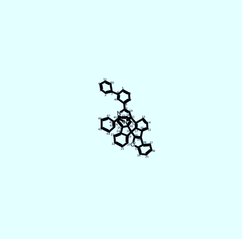 c1ccc(-c2cccc(-c3cc(-c4cccc5c4C4(c6ccccc6-c6ccccc64)c4oc6ccccc6c4-5)nc(-c4ccccc4)n3)c2)cc1